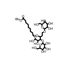 CC(C)(C)OC(=O)CCCCCCCCOC(O)C(O)C(OC1OC(CO)C(O)C(O)C1O)C(O)CCOC1OC(CO)C(O)C(O)C1O